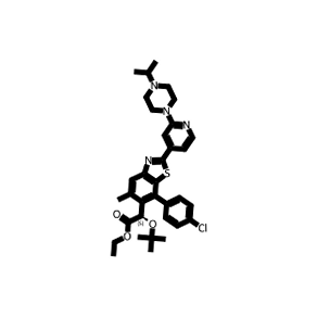 CCOC(=O)[C@@H](OC(C)(C)C)c1c(C)cc2nc(-c3ccnc(N4CCN(C(C)C)CC4)c3)sc2c1-c1ccc(Cl)cc1